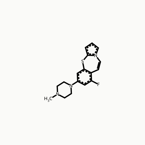 CN1CCN(c2cc(F)c3c(c2)Sc2cccn2C=C3)CC1